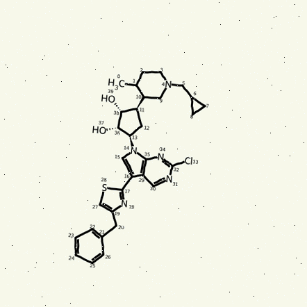 CC1CCN(CC2CC2)CC1[C@H]1C[C@@H](n2cc(-c3nc(Cc4ccccc4)cs3)c3cnc(Cl)nc32)[C@H](O)[C@@H]1O